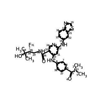 CN(C)C(=O)c1ccc(Nc2cc(Nc3ccc4ncsc4c3)ncc2C(=O)NC[C@@H](F)C(C)(C)O)cc1